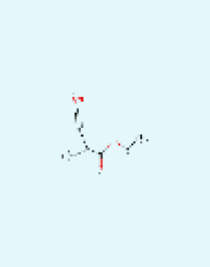 CCOC(=O)C(C)C#CO